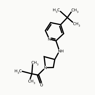 CC(C)(C)C(=O)N1CC(Nc2cc(C(C)(C)C)ccn2)C1